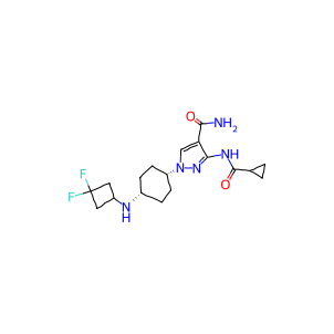 NC(=O)c1cn([C@H]2CC[C@@H](NC3CC(F)(F)C3)CC2)nc1NC(=O)C1CC1